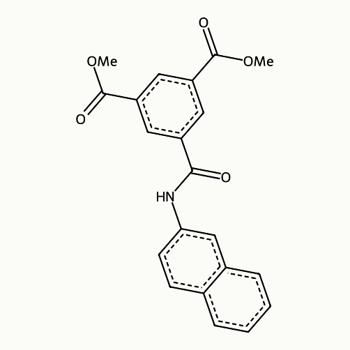 COC(=O)c1cc(C(=O)Nc2ccc3ccccc3c2)cc(C(=O)OC)c1